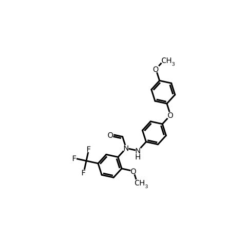 COc1ccc(Oc2ccc(NN(C=O)c3cc(C(F)(F)F)ccc3OC)cc2)cc1